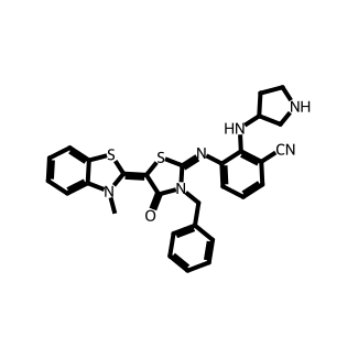 CN1C(=C2SC(=Nc3cccc(C#N)c3NC3CCNC3)N(Cc3ccccc3)C2=O)Sc2ccccc21